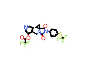 O=C1N(c2ccc(SC(F)(F)F)cc2)C(=O)C2(CC2)N1Cc1ccncc1OC(=O)C(F)(F)F